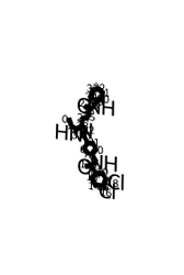 C=Cc1[nH]c(-c2ccc(NC(=O)c3ccc(Cl)c(Cl)c3)cc2)nc1/C=C/C(=O)Nc1ccccc1